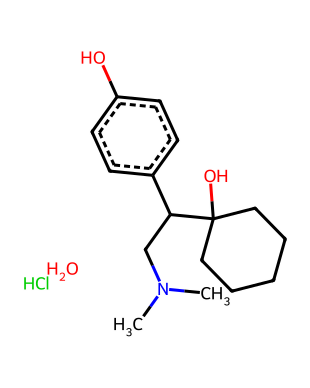 CN(C)CC(c1ccc(O)cc1)C1(O)CCCCC1.Cl.O